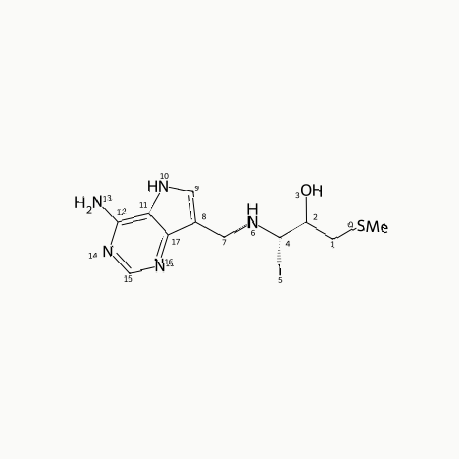 CSCC(O)[C@H](I)NCc1c[nH]c2c(N)ncnc12